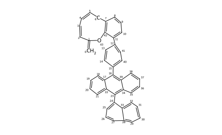 C=C1/C=C\C=C/Cc2cccc(-c3ccc(-c4c5ccccc5c(-c5cccc6ccccc56)c5ccccc45)cc3)c2O1